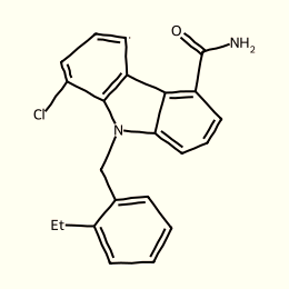 CCc1ccccc1Cn1c2cccc(C(N)=O)c2c2[c]ccc(Cl)c21